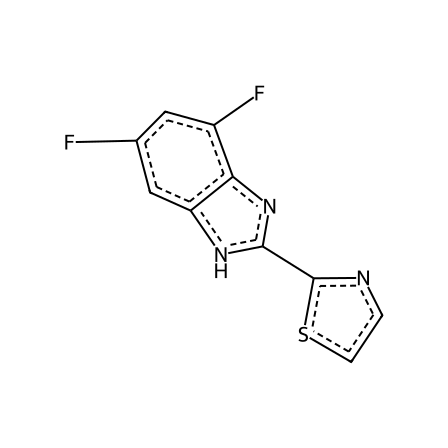 Fc1cc(F)c2nc(-c3nccs3)[nH]c2c1